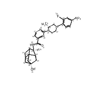 C[C@@H]1CN(c2ccc([N+](=O)[O-])cc2F)CCN1c1nccc(C(=O)N[C@H]2C3CC4CC2C[C@](O)(C4)C3)n1